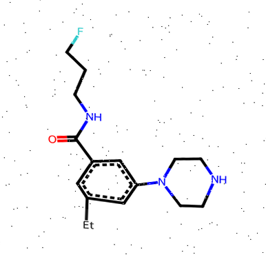 CCc1cc(C(=O)NCCCF)cc(N2CCNCC2)c1